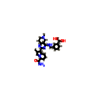 Cc1cn2c(C(N)=O)cccc2c1-c1nc2c(c(NCc3cccc(B(O)O)c3)n1)CN(C)CC2